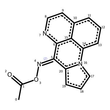 CC(=O)O/N=c1/c2nccc3cccc(c32)n2cccc12